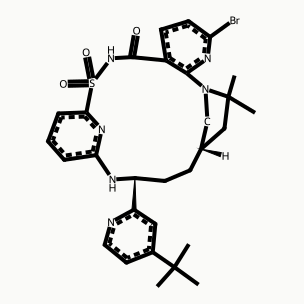 CC(C)(C)c1ccnc([C@@H]2CC[C@@H]3CN(c4nc(Br)ccc4C(=O)NS(=O)(=O)c4cccc(n4)N2)C(C)(C)C3)c1